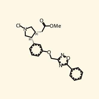 COC(=O)C[C@H]1CN(Cl)C[C@H]1c1cccc(OCc2noc(-c3ccccc3)n2)c1